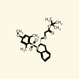 COc1cc(C)c(S(=O)(=O)N2Cc3ccccc3C[C@H]2COCC(=O)OC(C)(C)C)c(C)c1